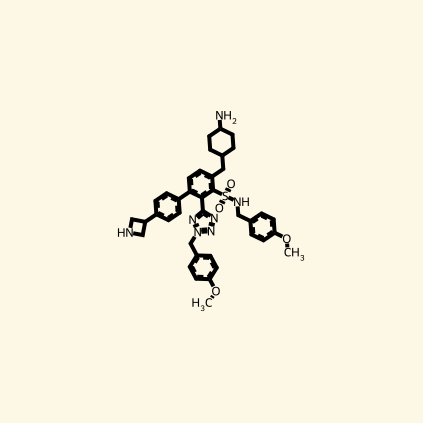 COc1ccc(CNS(=O)(=O)c2c(CC3CCC(N)CC3)ccc(-c3ccc(C4CNC4)cc3)c2-c2nnn(Cc3ccc(OC)cc3)n2)cc1